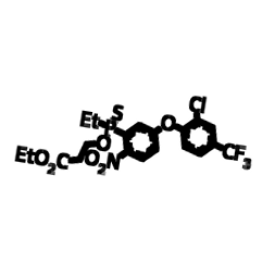 CCOC(=O)CCOP(=S)(CC)c1cc(Oc2ccc(C(F)(F)F)cc2Cl)ccc1[N+](=O)[O-]